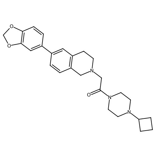 O=C(CN1CCc2cc(-c3ccc4c(c3)OCO4)ccc2C1)N1CCN(C2CCC2)CC1